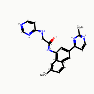 CNc1nccc(-c2cc(NC(=O)CNc3ccncn3)c3cc(OC)ccc3c2)n1